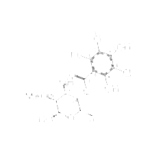 CCc1c(Cl)c(O)c(Cl)c(O)c1C(=O)O[C@H]1[C@H](O)[C@H](OC)[C@H](O)O[C@@H]1C